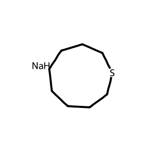 C1CCCCSCCC1.[NaH]